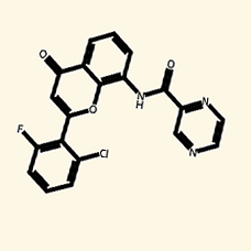 O=C(Nc1cccc2c(=O)cc(-c3c(F)cccc3Cl)oc12)c1cnccn1